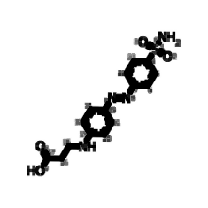 NS(=O)(=O)c1ccc(/N=N/c2ccc(NCCC(=O)O)cc2)cc1